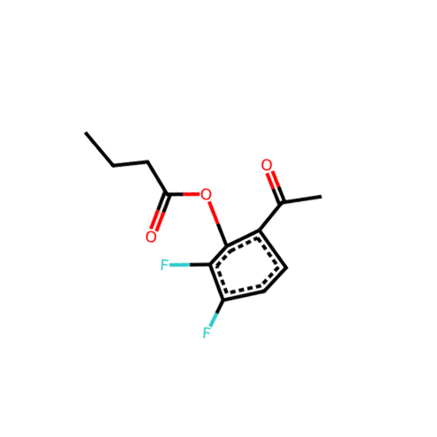 CCCC(=O)Oc1c(C(C)=O)ccc(F)c1F